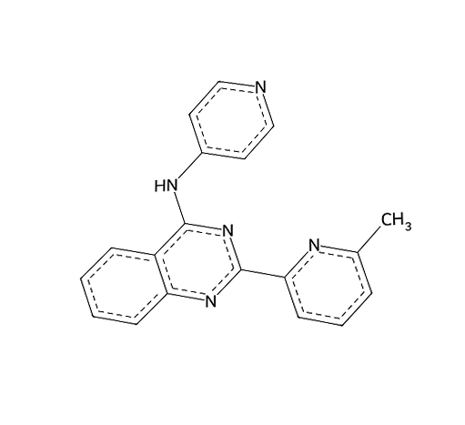 Cc1cccc(-c2nc(Nc3ccncc3)c3ccccc3n2)n1